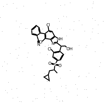 CC(CC1CC1)S(=O)(=O)c1ccc(C(CO)c2nc3c(Cl)c(-c4ccccc4C#N)c(Cl)cc3[nH]2)c(Cl)c1